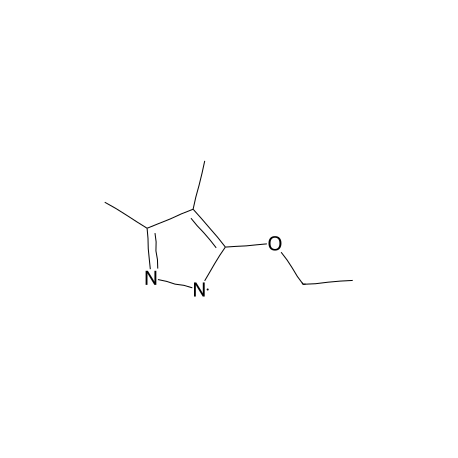 CCOC1=C(C)C(C)=N[N]1